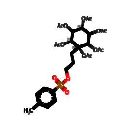 CC(=O)OC1C(OC(C)=O)[C@@](CCCOS(=O)(=O)c2ccc(C)cc2)(OC(C)=O)[C@@H](OC(C)=O)C(OC(C)=O)[C@H]1OC(C)=O